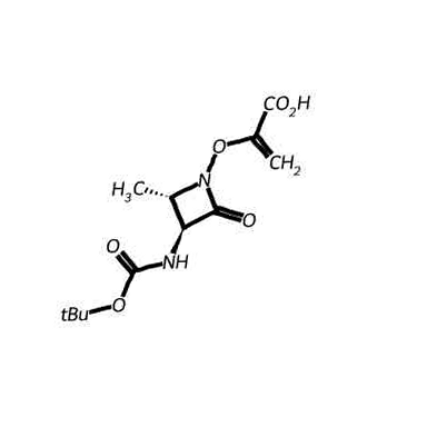 C=C(ON1C(=O)[C@@H](NC(=O)OC(C)(C)C)[C@@H]1C)C(=O)O